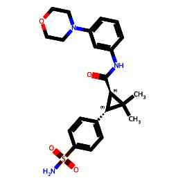 CC1(C)[C@H](C(=O)Nc2cccc(N3CCOCC3)c2)[C@H]1c1ccc(S(N)(=O)=O)cc1